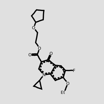 CCOc1cc2c(cc1F)c(=O)c(C(=O)OCCOC1CCCC1)cn2C1CC1